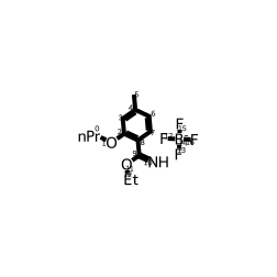 CCCOc1cc(C)ccc1C(=N)OCC.F[B-](F)(F)F